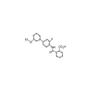 CCOc1cccc(-c2ccc(NC(=O)c3ccccc3C(=O)O)c(F)c2)c1